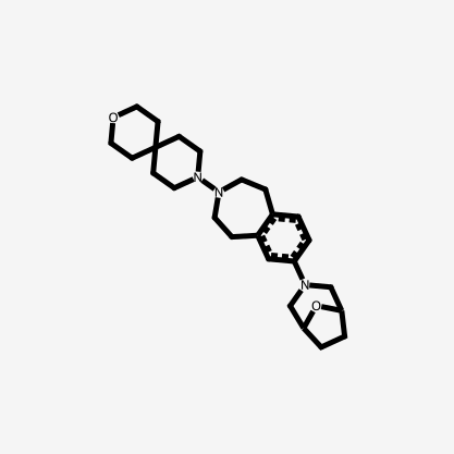 c1cc2c(cc1N1CC3CCC(C1)O3)CCN(N1CCC3(CCOCC3)CC1)CC2